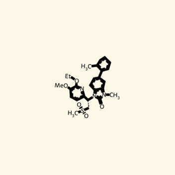 CCOc1nc([C@@H](CS(C)(=O)=O)n2c(=O)n(C)c3cc(-c4ccccc4C)ccc32)ccc1OC